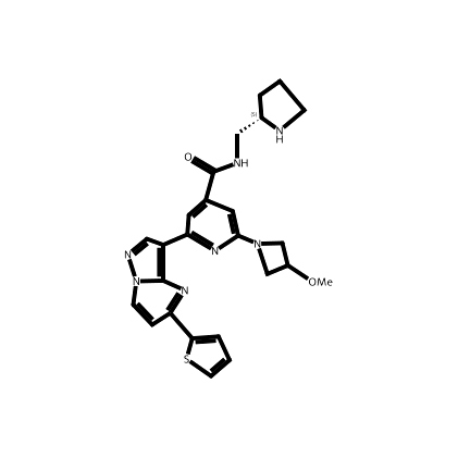 COC1CN(c2cc(C(=O)NC[C@@H]3CCCN3)cc(-c3cnn4ccc(-c5cccs5)nc34)n2)C1